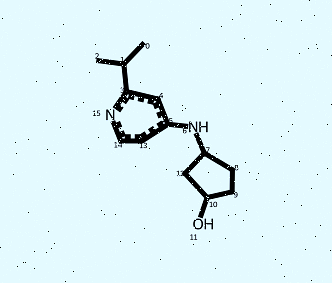 CC(C)c1cc(NC2CCC(O)C2)ccn1